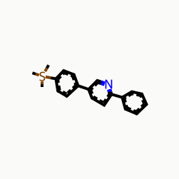 CS(C)(C)c1ccc(-c2ccc(-c3ccccc3)nc2)cc1